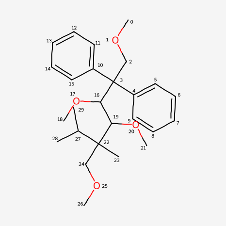 COCC(c1ccccc1)(c1ccccc1)C(OC)C(OC)C(C)(COC)C(C)C